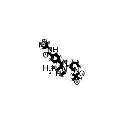 CC1(C(=O)N2CCC[C@@H](c3nc(-c4ccc(C(=O)Nc5cnsc5)cc4)c4c(N)nccn34)C2)COC1